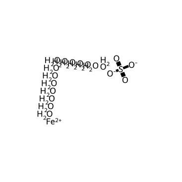 O.O.O.O.O.O.O.O.O.O.O.O.O.O.O=S(=O)([O-])[O-].[Fe+2]